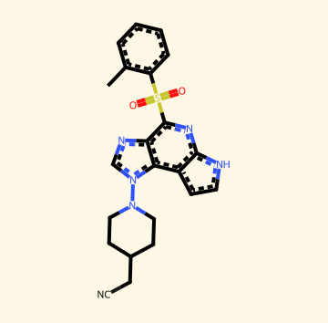 Cc1ccccc1S(=O)(=O)c1nc2[nH]ccc2c2c1ncn2N1CCC(CC#N)CC1